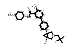 CC(F)(F)CN1C[C@@H]2C[C@]2(c2ccc(-c3cnc(N)c(C(=O)N[C@H]4CC[C@H](O)CC4)c3)cc2)C1